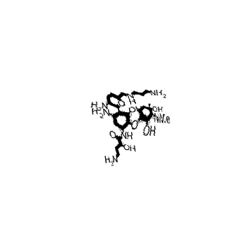 CN[C@@H]1[C@@H](O)[C@@H](O[C@@H]2[C@@H](O)[C@H](C3OC(CNCCCN)=CC[C@H]3N)[C@@H](N)C[C@H]2NC(=O)[C@@H](O)CCN)CC[C@]1(C)O